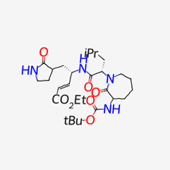 CCOC(=O)/C=C/[C@H](CC1CCNC1=O)NC(=O)[C@H](CC(C)C)N1CCCCC(NC(=O)OC(C)(C)C)C1=O